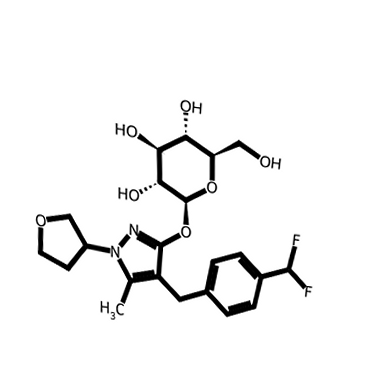 Cc1c(Cc2ccc(C(F)F)cc2)c(O[C@@H]2O[C@H](CO)[C@@H](O)[C@H](O)[C@H]2O)nn1C1CCOC1